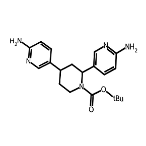 CC(C)(C)OC(=O)N1CCC(c2ccc(N)nc2)CC1c1ccc(N)nc1